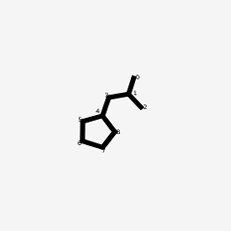 [CH2]C(C)CC1CCCC1